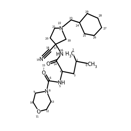 CC(C)CC(NC(=O)N1CCOCC1)C(=O)NC1(C#N)CCN(CC2CCCCC2)C1